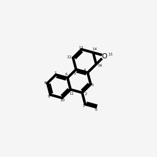 C=Cc1cc2c(c3ccccc13)C=CC1OC21